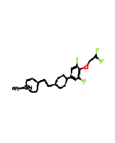 CCC[SiH]1CCC(CCC2CCC(c3cc(F)c(OCC(F)F)c(F)c3)CC2)CC1